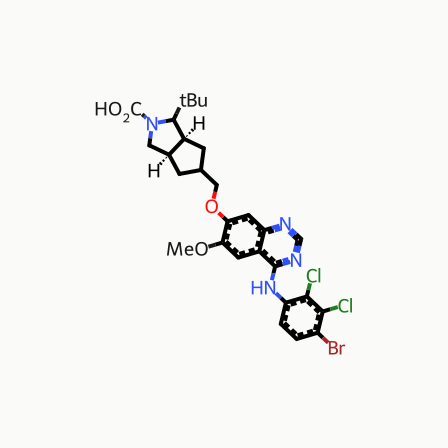 COc1cc2c(Nc3ccc(Br)c(Cl)c3Cl)ncnc2cc1OCC1C[C@H]2CN(C(=O)O)C(C(C)(C)C)[C@H]2C1